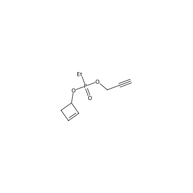 C#CCOP(=O)(CC)OC1C=CC1